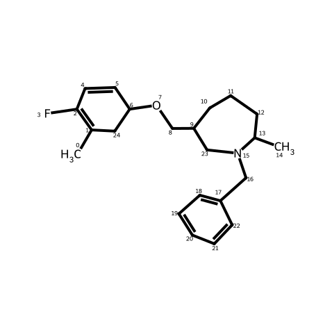 CC1=C(F)C=CC(OCC2CCCC(C)N(Cc3ccccc3)C2)C1